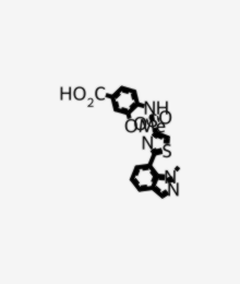 COc1cc(C(=O)O)ccc1NS(=O)(=O)c1csc(-c2cccc3cnn(C)c23)n1